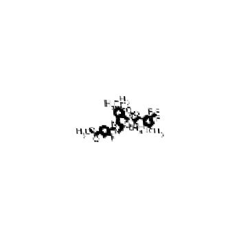 COC(=O)c1ccc(-c2ncc(OC)c(C3=C(CN4C(=O)O[C@H](c5cc(C)cc(C(F)(F)F)c5)[C@@H]4C)CC(C)(C)CC3)n2)c(F)c1